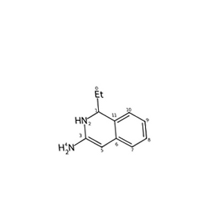 CCC1NC(N)=Cc2ccccc21